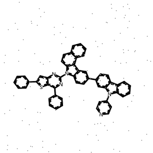 c1ccc(-c2cc3nc(-n4c5ccc(-c6ccc7c8ccccc8n(-c8ccncc8)c7c6)cc5c5c6ccccc6ccc54)nc(-c4ccccc4)c3s2)cc1